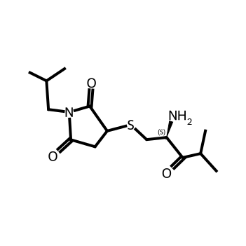 CC(C)CN1C(=O)CC(SC[C@@H](N)C(=O)C(C)C)C1=O